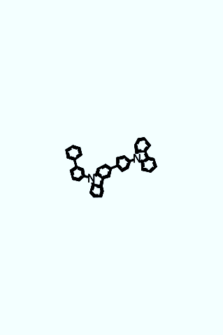 c1ccc(-c2cccc(-n3c4ccccc4c4cc(-c5ccc(-n6c7ccccc7c7ccccc76)cc5)ccc43)c2)cc1